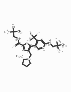 C[C@H]1CCCN1Cc1nc(C(=O)NCC(C)(C)O)sc1-c1cnc(NCC(C)(C)C)cc1C(F)(F)F